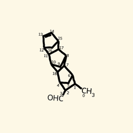 CC1C(C=O)C2CC1C1C3CC(C4C5C=CC(C5)C34)C21